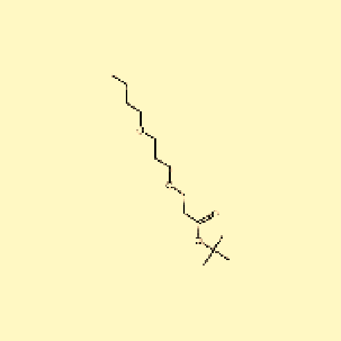 CCCCOCCCOCCC(=O)OC(C)(C)C